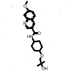 COc1ccc2cc(C(=O)NC3CCC(OCC(C)(C)O)CC3)cnc2c1